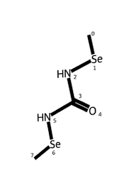 C[Se]NC(=O)N[Se]C